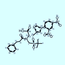 CC(C)(C)S(=O)(=O)CN(C(=O)CCc1ccccc1)[C@@H](Cc1cn(-c2ccc([N+](=O)[O-])cc2[N+](=O)[O-])cn1)C(=O)O